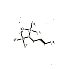 CC=CCN([Si](C)(C)C)[Si](C(C)C)(C(C)C)C(C)C